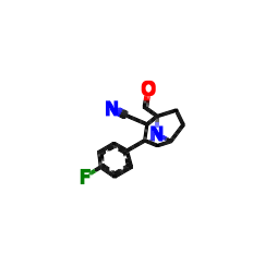 CN1C2CCC1(C=O)C(C#N)C(c1ccc(F)cc1)C2